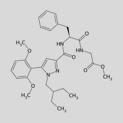 CCC(CC)Cn1nc(C(=O)N[C@@H](Cc2ccccc2)C(=O)NCC(=O)OC)cc1-c1c(OC)cccc1OC